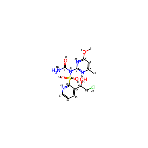 COc1cc(C)nc(N(C(N)=O)S(=O)(=O)c2ncccc2C(O)CCl)n1